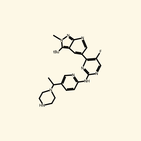 CC(c1ccc(Nc2ncc(F)c(-c3cnc4nn(C)c(C(C)(C)C)c4c3)n2)nc1)N1CCNCC1